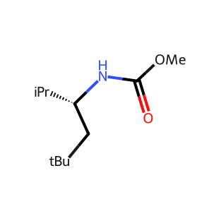 COC(=O)N[C@H](CC(C)(C)C)C(C)C